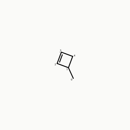 CC1C=[C]C1